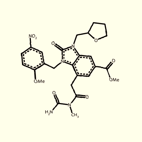 COC(=O)c1cc(CC(=O)N(C)C(N)=O)c2c(c1)n(CC1CCCO1)c(=O)n2Cc1cc([N+](=O)[O-])ccc1OC